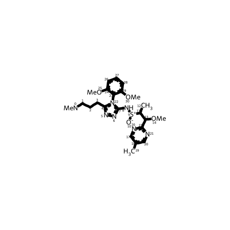 CNCCCc1nnc(N[S+]([O-])C(C)C(OC)c2ncc(C)cn2)n1-c1c(OC)cccc1OC